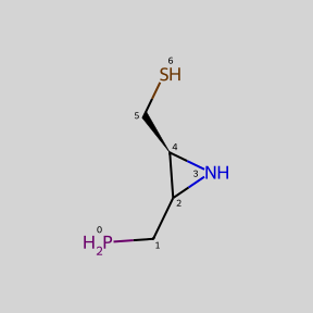 PCC1N[C@@H]1CS